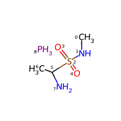 CNS(=O)(=O)C(C)N.P